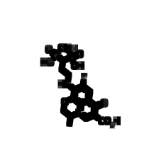 CC1COc2c(NCCC(P(=O)(O)O)P(=O)(O)O)c(F)cc3c(=O)c(C(=O)O)cn1c23